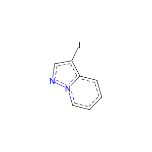 Ic1cnn2ccccc12